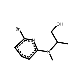 CC(CO)N(C)c1cccc(Br)n1